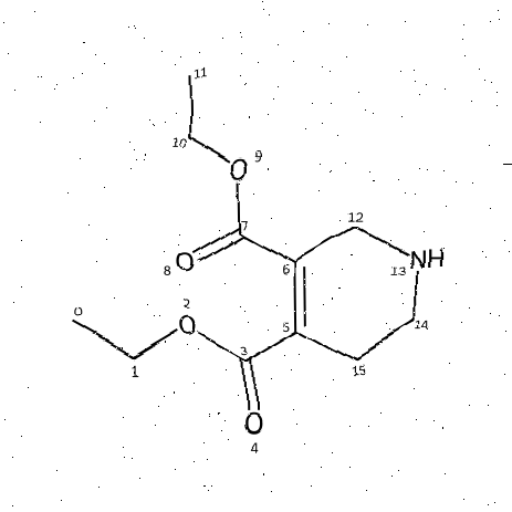 CCOC(=O)C1=C(C(=O)OCC)CNCC1